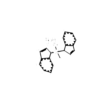 CC[Si](C)(C1C=Cc2ccccc21)C1C=Cc2ccccc21.[NaH]